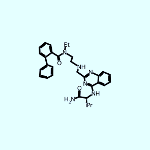 CCN(CCNCc1nc(N[C@H](C(N)=O)C(C)C)c2ccccc2n1)C(=O)c1ccccc1-c1ccccc1